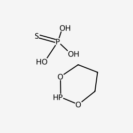 C1COPOC1.OP(O)(O)=S